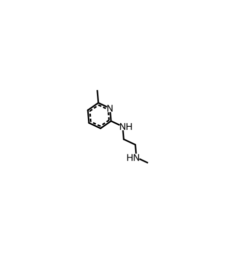 CNCCNc1cccc(C)n1